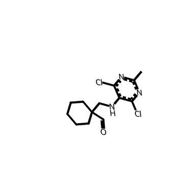 Cc1nc(Cl)c(NCC2(C=O)CCCCC2)c(Cl)n1